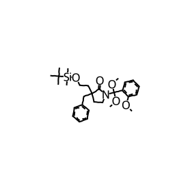 COc1ccccc1C(OC)(OC)N1CCC(CCO[Si](C)(C)C(C)(C)C)(Cc2ccccc2)C1=O